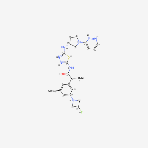 COc1cc([C@@H](OC)C(=O)Nc2nnc(N[C@@H]3CCN(c4cccnn4)C3)s2)cc(N2CC(F)C2)c1